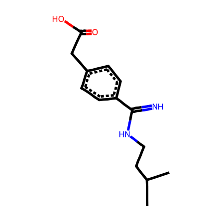 CC(C)CCNC(=N)c1ccc(CC(=O)O)cc1